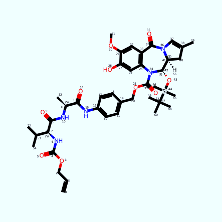 C=CCOC(=O)N[C@H](C(=O)N[C@@H](C)C(=O)Nc1ccc(COC(=O)N2c3cc(O)c(OC)cc3C(=O)N3C=C(C)C[C@H]3[C@@H]2O[Si](C)(C)C(C)(C)C)cc1)C(C)C